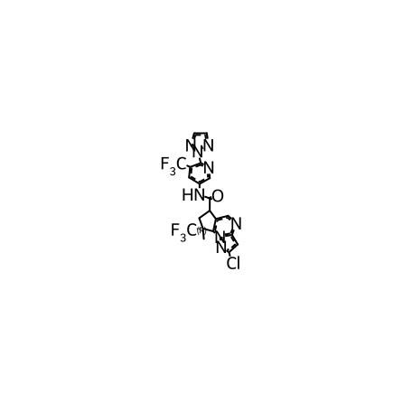 C[C@@]1(C(F)(F)F)CC(C(=O)Nc2cnc(-n3nccn3)c(C(F)(F)F)c2)c2cnc3cc(Cl)nn3c21